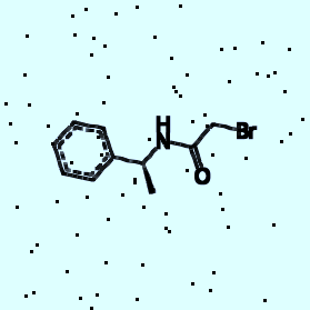 C[C@H](NC(=O)CBr)c1ccccc1